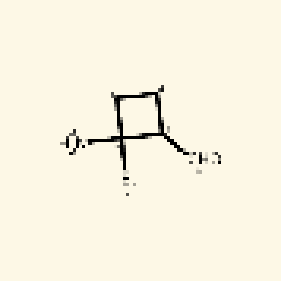 CCC1(N)CCC1C=O